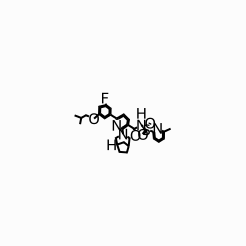 Cc1cccc(S(=O)(=O)NC(=O)c2ccc(-c3cc(F)cc(OCC(C)C)c3)nc2N2CC3CC[C@@H](C3)C2)n1